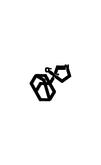 [O-][N+]1(C23CC4CC(CC(C4)C2)C3)C=NCC1